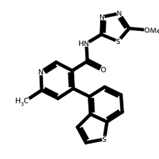 COc1nnc(NC(=O)c2cnc(C)cc2-c2cccc3sccc23)s1